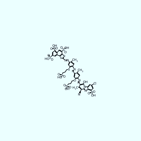 Cc1cc(N=Nc2cc(OCCCS(=O)(=O)O)c(N=Nc3c(C)c(C#N)c4nc5c(S(=O)(=O)O)cc(Cl)cc5n4c3O)cc2C)c(SCCCS(=O)(=O)O)cc1N=Nc1nc2c(S(=O)(=O)O)cc3c(S(=O)(=O)O)cc(S(=O)(=O)O)cc3c2s1